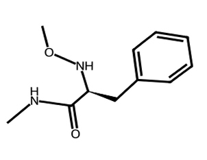 CNC(=O)[C@H](Cc1ccccc1)NOC